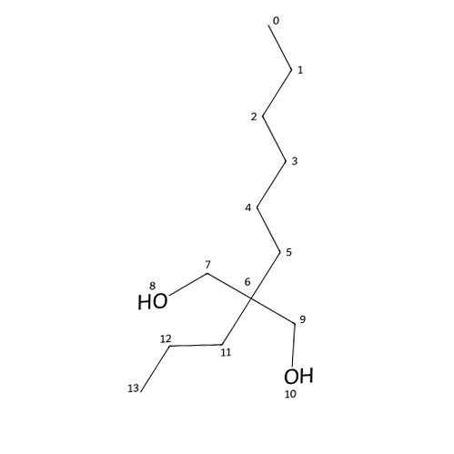 CCCCCCC(CO)(CO)CCC